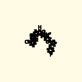 Cc1[nH]c(/C=C2\C(=O)Nc3ccc(S(=O)(=O)Cc4c(Cl)cccc4Cl)cc32)c(C)c1CC(=O)N1CCC[C@@H]1CN1CCC(F)CC1